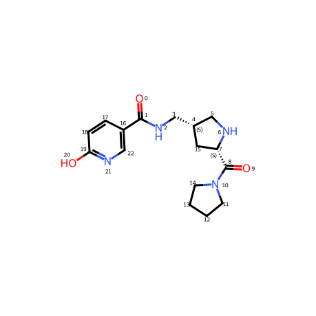 O=C(NC[C@@H]1CN[C@H](C(=O)N2CCCC2)C1)c1ccc(O)nc1